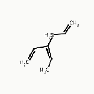 C=C[SiH2]C(C=C)=CC